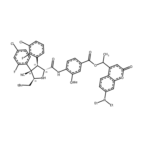 CCN(CC)c1ccc2c(C(C)OC(=O)c3ccc(NC(=O)[C@@H]4N[C@@H](CC(C)(C)C)[C@](C#N)(c5ccc(Cl)cc5F)[C@H]4c4cccc(Cl)c4F)c(OC)c3)cc(=O)oc2c1